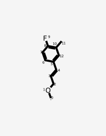 [CH2]OC/C=C/c1ccc(F)c(C)c1